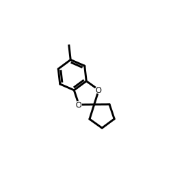 Cc1ccc2c(c1)OC1(CCCC1)O2